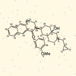 COc1cccc([C@@]23CCN(CC4CC4)C[C@@]2(O)CC[C@H](N(CC(C)C)C(=O)c2ccc4ccccc4c2)C3)c1